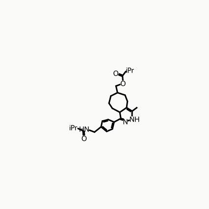 CC1=C2CCC(COC(=O)C(C)C)CCCC2C(c2ccc(CNC(=O)C(C)C)cc2)=NN1